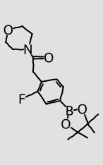 CC1(C)OB(c2ccc(CC(=O)N3CCOCC3)c(F)c2)OC1(C)C